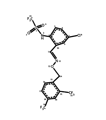 O=S(=O)(Nc1ccc(Cl)cc1C=NOCc1ccc(C(F)(F)F)cc1C(F)(F)F)C(F)(F)F